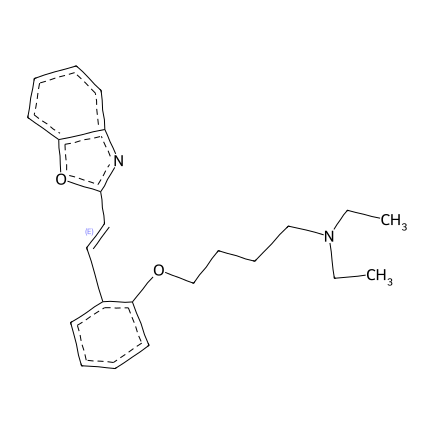 CCN(CC)CCCCOc1ccccc1/C=C/c1nc2ccccc2o1